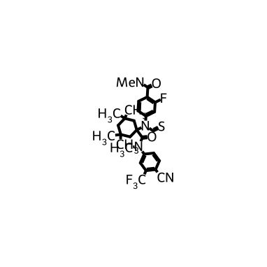 CNC(=O)c1ccc(N(C=S)C2(C(=O)N(C)c3ccc(C#N)c(C(F)(F)F)c3)CC(C)(C)CC(C)(C)C2)cc1F